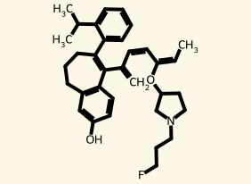 C=C(/C=C\C(=C/C)OC1CCN(CCCF)C1)C1=C(c2ccccc2C(C)C)CCCc2cc(O)ccc21